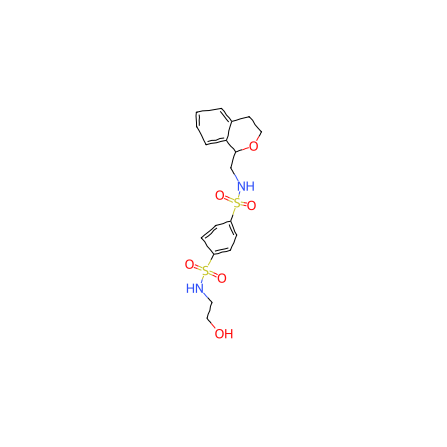 O=S(=O)(NCCO)c1ccc(S(=O)(=O)NCC2OCCc3ccccc32)cc1